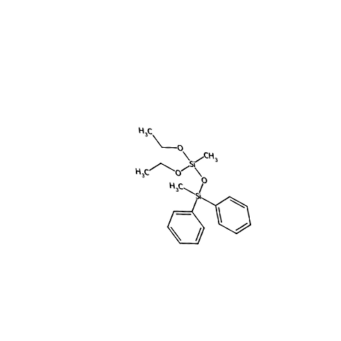 CCO[Si](C)(OCC)O[Si](C)(c1ccccc1)c1ccccc1